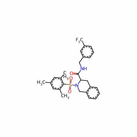 Cc1cc(C)c(S(=O)(=O)N2Cc3ccccc3CC2C(=O)NCc2cccc(C(F)(F)F)c2)c(C)c1